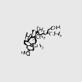 C[C@@H](CO)CCC[C@@H](C)[C@H]1CCC2[C@@H]3CC=C4C[C@@H](O)CC[C@]4(C)C3CC[C@@]21C